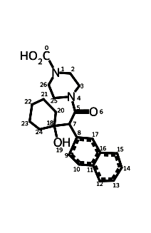 O=C(O)N1CCN(C(=O)C(c2ccc3ccccc3c2)C2(O)CCCCC2)CC1